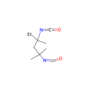 CCC(C)(CC(C)(C)N=C=O)N=C=O